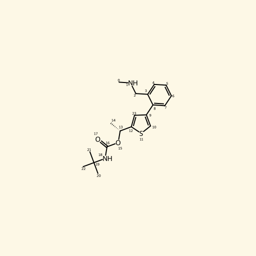 CNCc1ccccc1-c1csc([C@@H](C)OC(=O)NC(C)(C)C)c1